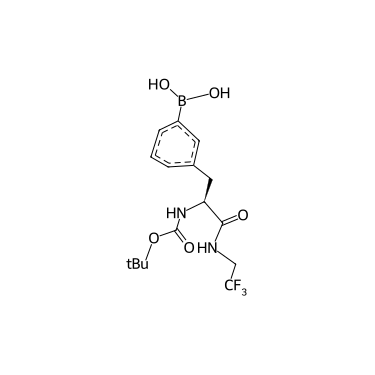 CC(C)(C)OC(=O)N[C@@H](Cc1cccc(B(O)O)c1)C(=O)NCC(F)(F)F